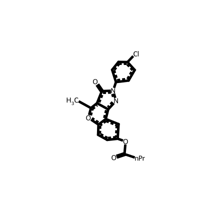 CCCC(=O)Oc1ccc2oc(C)c3c(=O)n(-c4ccc(Cl)cc4)nc-3c2c1